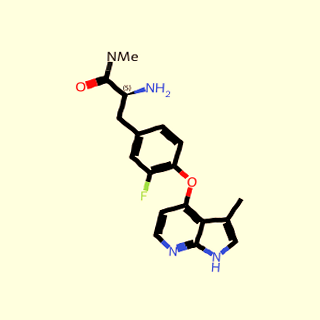 CNC(=O)[C@@H](N)Cc1ccc(Oc2ccnc3[nH]cc(C)c23)c(F)c1